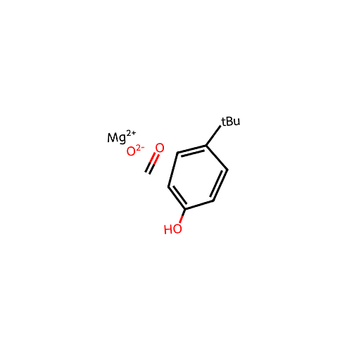 C=O.CC(C)(C)c1ccc(O)cc1.[Mg+2].[O-2]